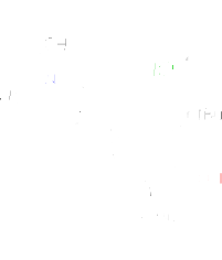 CN(C)CCc1cc(C(C)(C)C)c(O)c(C(C)(C)C)c1.Cl